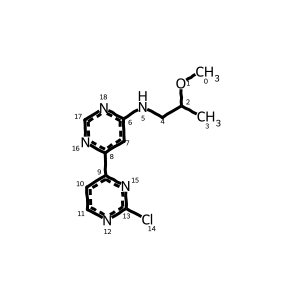 COC(C)CNc1cc(-c2ccnc(Cl)n2)ncn1